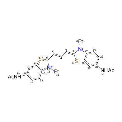 CCN1/C(=C/C=C/c2sc3cc(NC(C)=O)ccc3[n+]2CC)Sc2cc(NC(C)=O)ccc21